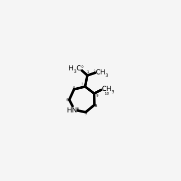 CC(C)C1CCNCCC1C